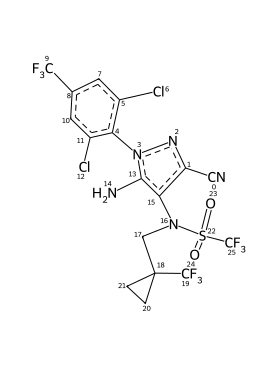 N#Cc1nn(-c2c(Cl)cc(C(F)(F)F)cc2Cl)c(N)c1N(CC1(C(F)(F)F)CC1)S(=O)(=O)C(F)(F)F